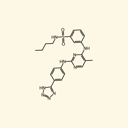 CCCCNS(=O)(=O)c1cccc(Nc2nc(Nc3ccc(-c4nnn[nH]4)cc3)ncc2C)c1